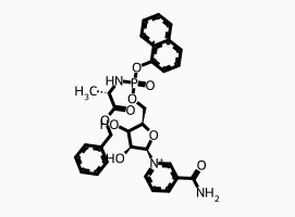 C[C@H](NP(=O)(OC[C@H]1O[C@@H]([n+]2cccc(C(N)=O)c2)[C@@H](O)C1O)Oc1cccc2ccccc12)C(=O)OCc1ccccc1